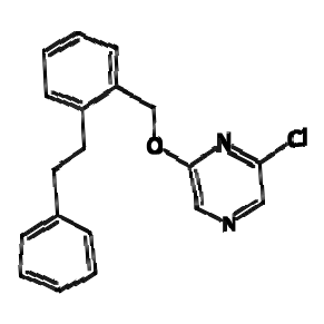 Clc1cncc(OCc2ccccc2CCc2ccccc2)n1